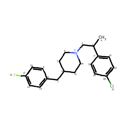 CC(CN1CCC(Cc2ccc(F)cc2)CC1)c1ccc(Cl)cc1